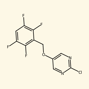 Fc1cc(F)c(F)c(COc2cnc(Cl)nc2)c1F